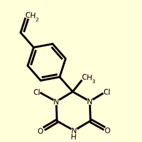 C=Cc1ccc(C2(C)N(Cl)C(=O)NC(=O)N2Cl)cc1